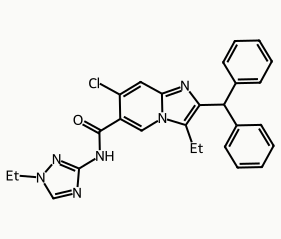 CCc1c(C(c2ccccc2)c2ccccc2)nc2cc(Cl)c(C(=O)Nc3ncn(CC)n3)cn12